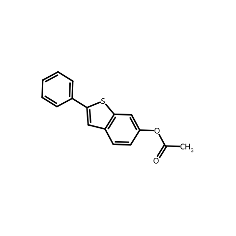 CC(=O)Oc1ccc2cc(-c3ccccc3)sc2c1